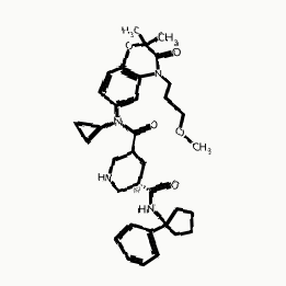 COCCCN1C(=O)C(C)(C)Oc2ccc(N(C(=O)C3CNC[C@@H](C(=O)NC4(c5ccccc5)CCCC4)C3)C3CC3)cc21